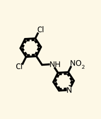 O=[N+]([O-])c1cnccc1NCc1cc(Cl)ccc1Cl